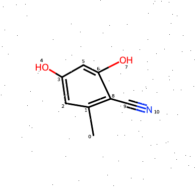 Cc1cc(O)cc(O)c1C#N